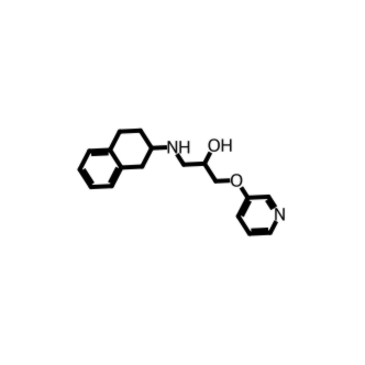 OC(CNC1CCc2ccccc2C1)COc1cccnc1